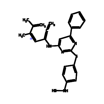 C=C=C(/C=C(/C)C(=C)C)Nc1cc(-c2ccccc2)nc(Sc2ccc(NS)cc2)n1